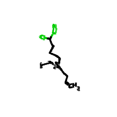 C=CC[SiH2]CCCC(Cl)Cl